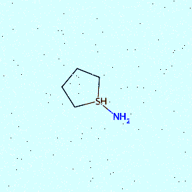 N[SH]1CCCC1